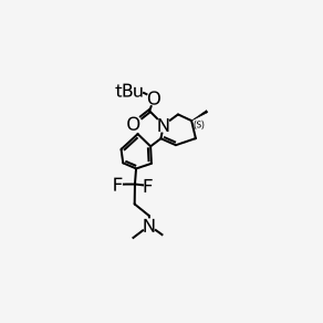 C[C@H]1CC=C(c2cccc(C(F)(F)CCN(C)C)c2)N(C(=O)OC(C)(C)C)C1